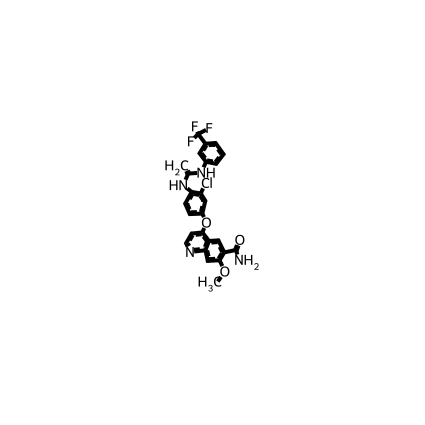 C=C(Nc1cccc(C(F)(F)F)c1)Nc1ccc(Oc2ccnc3cc(OC)c(C(N)=O)cc23)cc1Cl